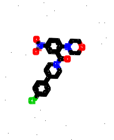 O=C(c1cc([N+](=O)[O-])ccc1N1CCOCC1)N1CC=C(c2ccc(Cl)cc2)CC1